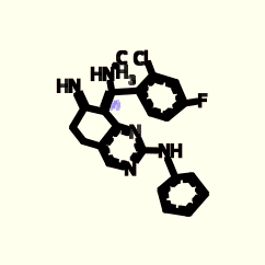 CN/C(=C1\C(=N)CCc2cnc(Nc3ccccc3)nc21)c1ccc(F)cc1Cl